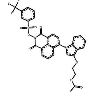 CC(=O)OCCOc1cn(-c2ccc3c4c(cccc24)C(=O)N(OS(=O)(=O)c2cccc(C(F)(F)F)c2)C3=O)c2ccccc12